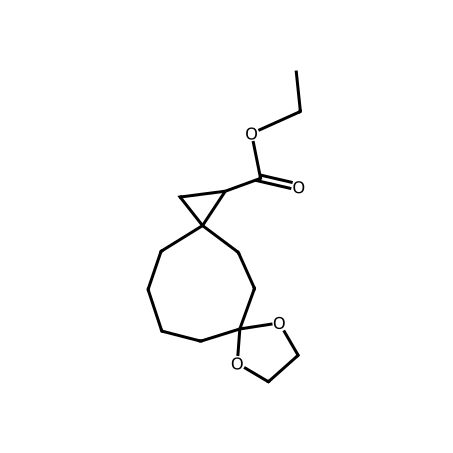 CCOC(=O)C1CC12CCCCC1(CC2)OCCO1